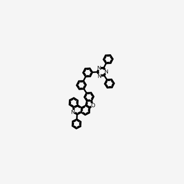 c1ccc(-c2nc(-c3ccccc3)nc(-c3cccc(-c4cccc(-c5ccc6oc7ccc8c(-c9ccccc9)nc9ccccc9c8c7c6c5)c4)c3)n2)cc1